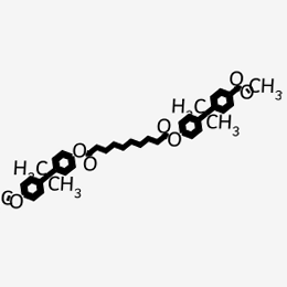 COC(=O)c1ccc(C(C)(C)c2ccc(OC(=O)CCCCCCCCC(=O)Oc3ccc(C(C)(C)c4ccc(OC)cc4)cc3)cc2)cc1